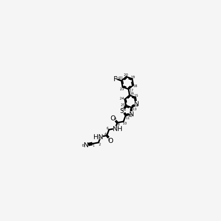 N#CCNC(=O)CNC(=O)Cc1nc2ncc(-c3cccc(F)c3)cc2s1